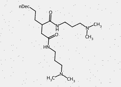 CCCCCCCCCCCCC(CC(=O)NCCCN(C)C)C(=O)NCCCN(C)C